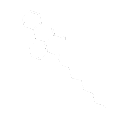 CCCCCCCCOc1cccc(-c2ccccc2)c1C(=O)O